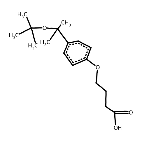 CC(C)(C)CC(C)(C)c1ccc(OCCCC(=O)O)cc1